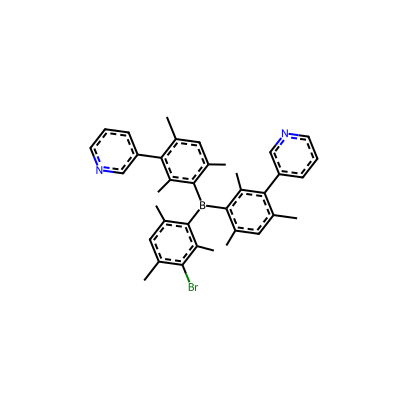 Cc1cc(C)c(B(c2c(C)cc(C)c(-c3cccnc3)c2C)c2c(C)cc(C)c(-c3cccnc3)c2C)c(C)c1Br